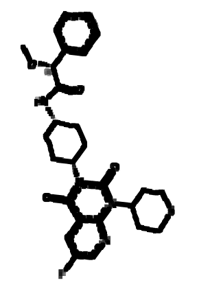 CO[C@@H](C(=O)N[C@H]1CC[C@@H](n2c(=O)c3cc(F)cnc3n(C3CCSCC3)c2=O)CC1)c1ccccc1